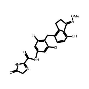 CO/N=C1\CCc2c(Cc3c(Cl)cc(NC(=O)C4=NCC(=O)N4)cc3Cl)ccc(O)c21